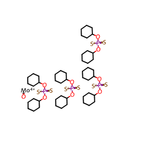 S=P([S-])(OC1CCCCC1)OC1CCCCC1.S=P([S-])(OC1CCCCC1)OC1CCCCC1.S=P([S-])(OC1CCCCC1)OC1CCCCC1.S=P([S-])(OC1CCCCC1)OC1CCCCC1.[O]=[Mo+4]